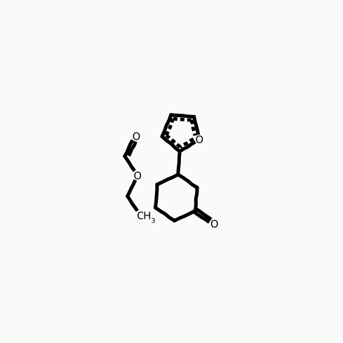 CCOC=O.O=C1CCCC(c2ccco2)C1